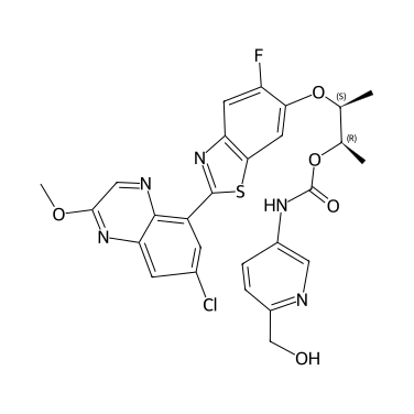 COc1cnc2c(-c3nc4cc(F)c(O[C@@H](C)[C@@H](C)OC(=O)Nc5ccc(CO)nc5)cc4s3)cc(Cl)cc2n1